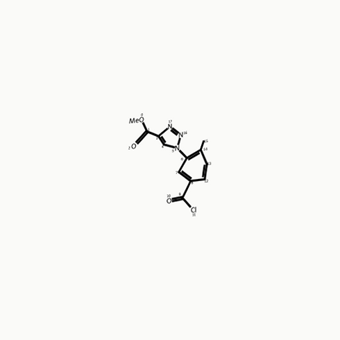 COC(=O)c1cn(-c2cc(C(=O)Cl)ccc2C)nn1